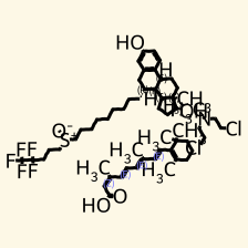 CC1=C(/C=C/C(C)=C/C=C/C(C)=C\C(=O)O)C(C)(C)CCC1.CN(CCCl)CCCl.C[C@]12CC[C@@H]3c4ccc(O)cc4C[C@@H](CCCCCCCCC[S+]([O-])CCCC(F)(F)C(F)(F)F)[C@H]3[C@@H]1CC[C@@H]2O